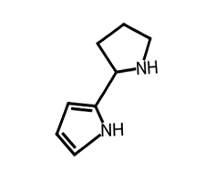 c1c[nH]c(C2CCCN2)c1